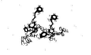 CCC(=O)N(c1ccccc1)C1(C(=O)OC)CCN(CCCc2ccccc2)CC1.CCC(=O)N(c1ccccc1)C1(C(=O)OC)CCN(CCCc2ccccc2)CC1.O.O=C(O)C(=O)O.O=C(O)C(=O)O